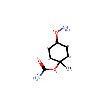 CC1(OC(N)=O)CCC(ON)CC1